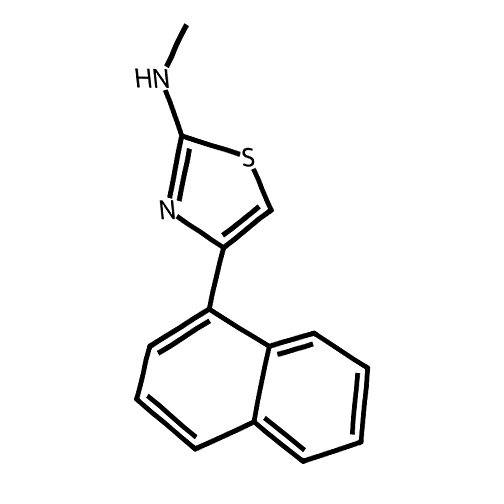 CNc1nc(-c2cccc3ccccc23)cs1